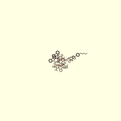 CCCCCc1ccc(-c2cc3cn(CO[C@H](COC(=O)C(NC(=O)C4CCCC4C(=O)C(NC(=O)OCC4c5ccccc5-c5ccccc54)C(C)C)C(C)C)C(C)OC(=O)C(NC(=O)C4CCCC4C(=O)C(NC(=O)OCC4c5ccccc5-c5ccccc54)C(C)C)C(C)C)c(=O)nc3o2)cc1